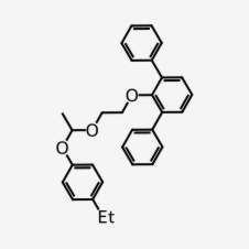 CCc1ccc(OC(C)OCCOc2c(-c3ccccc3)cccc2-c2ccccc2)cc1